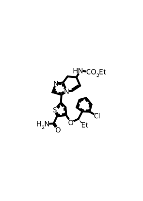 CCOC(=O)NC1C=Cn2c(-c3cc(O[C@@H](CC)c4ccccc4Cl)c(C(N)=O)s3)cnc2C1